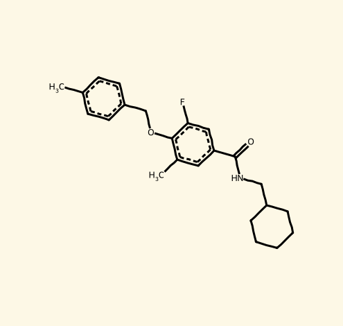 Cc1ccc(COc2c(C)cc(C(=O)NCC3CCCCC3)cc2F)cc1